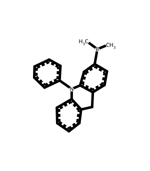 CB(C)c1ccc2c(c1)N(c1ccccc1)c1ccccc1C2